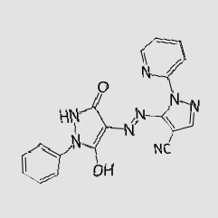 N#Cc1cnn(-c2ccccn2)c1N=Nc1c(O)n(-c2ccccc2)[nH]c1=O